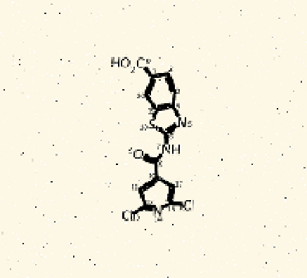 O=C(O)c1ccc2nc(NC(=O)c3cc(Cl)nc(Cl)c3)sc2c1